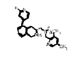 Cc1cnc(CN(C)C[C@H]2Cc3c(cccc3-c3ccnc(F)c3)CN2)c(C)c1